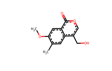 COc1cc2c(=O)occ(CO)c2cc1C